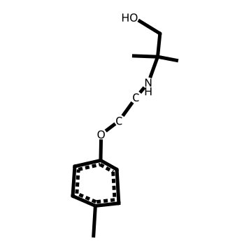 Cc1ccc(OCCNC(C)(C)CO)cc1